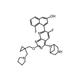 Oc1cc(-c2nc3nc(OCC4(CN5CCCC5)CC4)nc(N4C5CNCC4C5)c3cc2F)c2c(F)cccc2c1